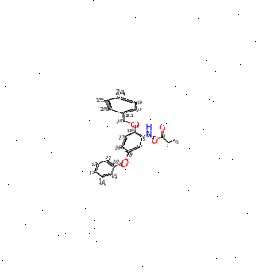 CCC(=O)ONc1cc(Oc2ccccc2)ccc1OCc1ccccc1